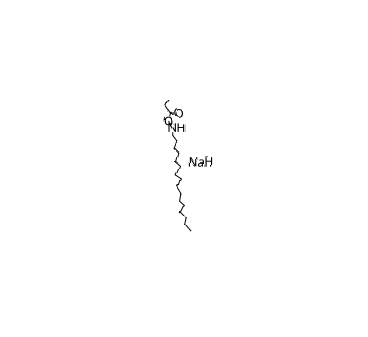 CCCCCCCCCCCCCCCCNOC(=O)CC.[NaH]